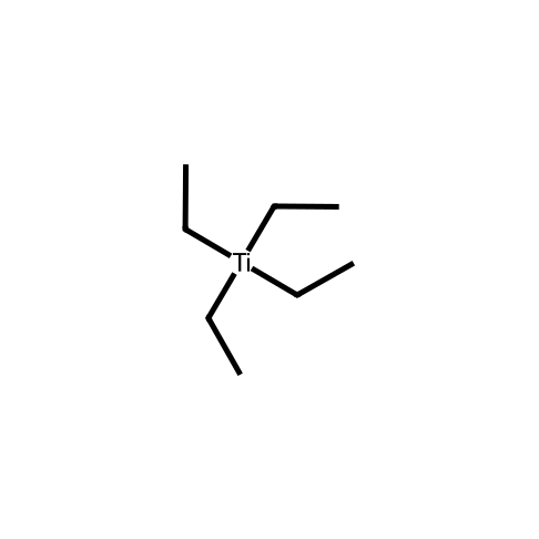 C[CH2][Ti]([CH2]C)([CH2]C)[CH2]C